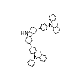 Cc1ccccc1N(c1ccccc1)c1ccc(-c2ccc3[nH]c4ccc(-c5ccc(N(c6ccccc6)c6ccccc6C)cc5)cc4c3c2)cc1